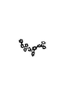 c1ccc(-c2cccc(-c3c4ccccc4c(-c4ccc(-n5c6ccccc6c6cc(-c7ccc8c(c7)c7ccccc7n8-c7ccccc7)ccc65)cc4)c4ccccc34)c2)cc1